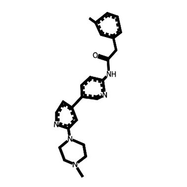 Cc1cccc(CC(=O)Nc2ccc(-c3ccnc(N4CCN(C)CC4)c3)cn2)c1